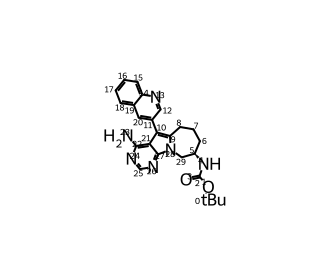 CC(C)(C)OC(=O)N[C@@H]1CCCc2c(-c3cnc4ccccc4c3)c3c(N)ncnc3n2C1